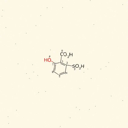 O=C(O)c1c(S(=O)(=O)O)[c]ccc1O